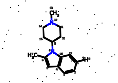 [2H]c1ccc2cc(C)n(C3CCN(C)CC3)c2c1